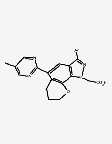 CC(=O)c1nn(CC(=O)O)c2c3c(c(-c4ncc(C)cn4)cc12)CCCO3